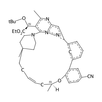 CCOC(=O)[C@@H](OC(C)(C)C)c1c(C)nc2cc3nn2c1N1CCC(C)(CCC=CC[C@H](C)Oc2ccc(C#N)cc2-c2cccc-3c2)CC1